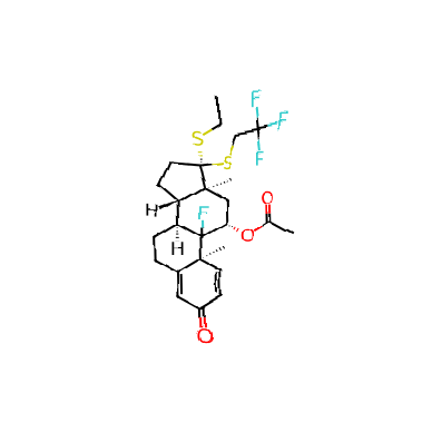 CCS[C@@]1(SCC(F)(F)F)CC[C@H]2[C@@H]3CCC4=CC(=O)C=C[C@]4(C)C3(F)[C@@H](OC(C)=O)C[C@@]21C